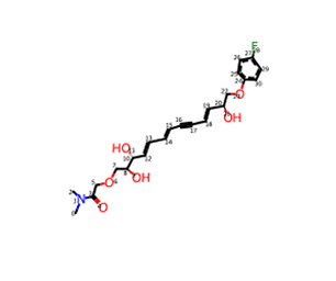 CN(C)C(=O)COC[C@H](O)[C@H](O)/C=C/C=C/C#C/C=C/[C@H](O)COc1ccc(F)cc1